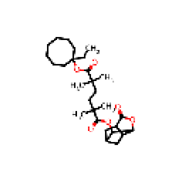 CCC1(OC(=O)C(C)(C)CCC(C)(C)C(=O)OC2C3CC4C(=O)OC2C4C3)CCCCCCC1